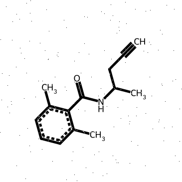 C#CCC(C)NC(=O)c1c(C)cccc1C